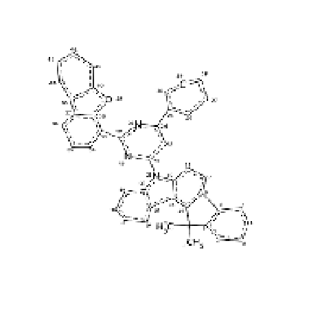 CC1(C)c2ccccc2-c2ccc3c(c21)c1ccccc1n3-c1cc(-c2ccccc2)nc(-c2cccc3c2oc2ccccc23)n1